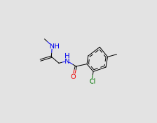 C=C(CNC(=O)c1ccc(C)cc1Cl)NC